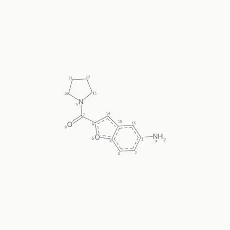 Nc1ccc2oc(C(=O)N3CCCC3)cc2c1